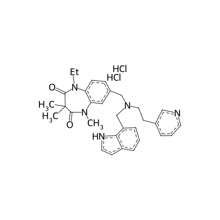 CCN1C(=O)C(C)(C)C(=O)N(C)c2cc(CN(CCc3cccnc3)Cc3cccc4cc[nH]c34)ccc21.Cl.Cl